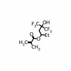 C=C(C)C(=O)OC(CC)CC(O)(C(F)(F)F)C(F)(F)F